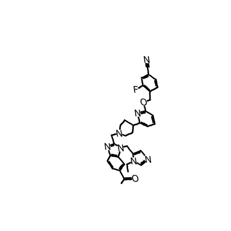 CCn1cncc1Cn1c(CN2CCC(c3cccc(OCc4ccc(C#N)cc4F)n3)CC2)nc2ccc(C(C)=O)cc21